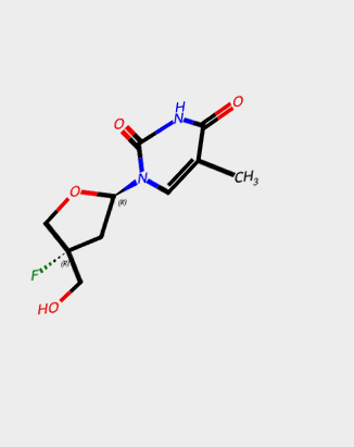 Cc1cn([C@H]2C[C@@](F)(CO)CO2)c(=O)[nH]c1=O